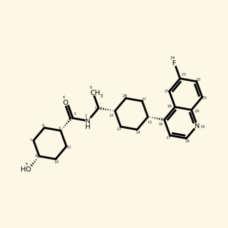 CC(NC(=O)[C@H]1CC[C@@H](O)CC1)[C@H]1CC[C@@H](c2ccnc3ccc(F)cc32)CC1